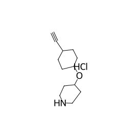 C#CC1CCC(OC2CCNCC2)CC1.Cl